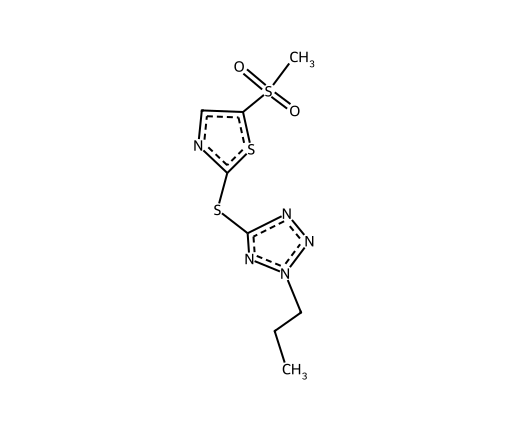 CCCn1nnc(Sc2ncc(S(C)(=O)=O)s2)n1